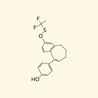 CC(F)(F)SOc1ccc2c(c1)CCCC=C2c1ccc(O)cc1